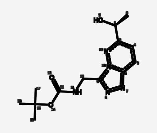 C[C@H](O)c1ccc2nnc(CNC(=O)OC(C)(C)C)n2n1